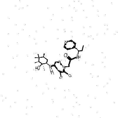 CCC(NC(=O)Cn1ncc(N[C@@H]2C[C@H](C)C(C)(C)[C@H](C)[C@]2(C)O)c(Cl)c1=O)c1ccncc1